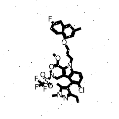 CCc1nn(C)c(C)c1-c1c(Cl)ccc2c1c(CN(C)S(=O)(=O)C(F)(F)F)c(C(=O)OC)n2CCCOc1cc(C)cc2cc(F)ccc12